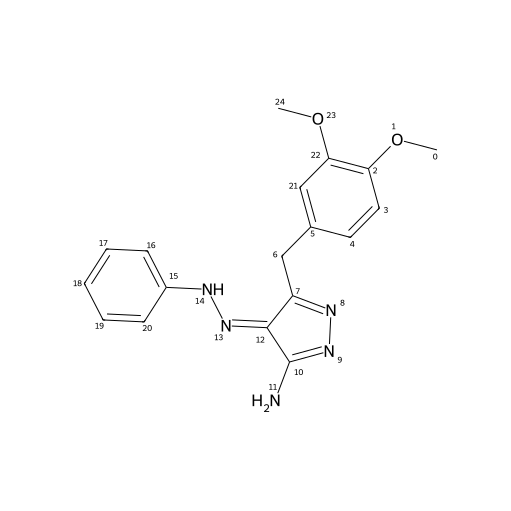 COc1ccc(CC2=NN=C(N)/C2=N/Nc2ccccc2)cc1OC